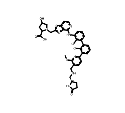 COc1nc(-c2cccc(-c3cccc(Nc4nccc5sc(CN6CC(O)CC6C(=O)O)nc45)c3Cl)c2Cl)ccc1CNC[C@H]1CCC(=O)N1